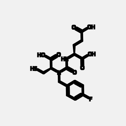 O=C(O)CC[C@H](NC(=O)N(Cc1ccc(F)cc1)[C@@H](CS)C(=O)O)C(=O)O